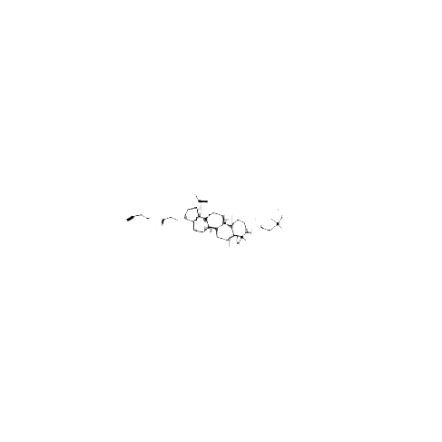 C#CCCOC(=O)CC[C@@H]1C[C@@H](C(=C)C)[C@H]2C1CC[C@]1(C)[C@@H]2CC[C@@H]2[C@@]3(C)CC[C@H](OC(=O)CC(C)(C)CC(=O)O)C(C)(C)[C@@H]3CC[C@]21C